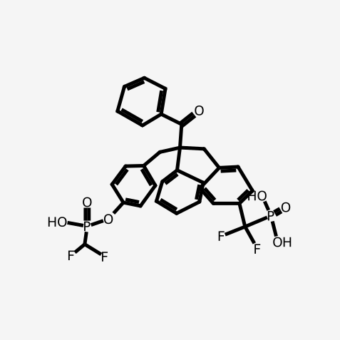 O=C(c1ccccc1)C(Cc1ccc(OP(=O)(O)C(F)F)cc1)(Cc1ccc(C(F)(F)P(=O)(O)O)cc1)c1ccccc1